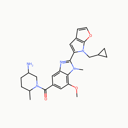 COc1cc(C(=O)N2CC(N)CCC2C)cc2nc(-c3cc4ccoc4n3CC3CC3)n(C)c12